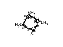 CC1=Cc2cc3[nH]c(cc4nc(cc5[nH]c(cc1n2)cc5C)C=C4C)cc3C